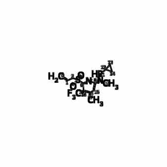 C=CCS(=O)(=O)c1nc(N(C)PC2CC2)cc(C)c1C(F)(F)F